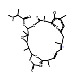 CNC(C)C(=O)OC1CC(=O)N(C)c2cc(cc(C)c2Cl)C/C(C)=C/C=C/C(C)C2(O)CC(OC(=O)N2)C(C)C2OC12C